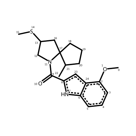 COc1cccc2[nH]c(C(=O)N3CC(SC)CC34CCCC4C)cc12